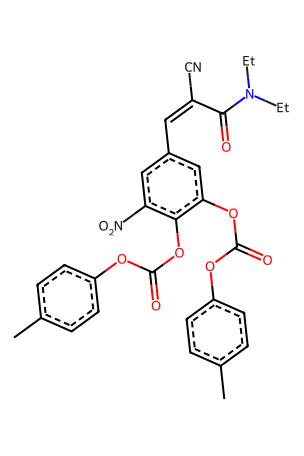 CCN(CC)C(=O)C(C#N)=Cc1cc(OC(=O)Oc2ccc(C)cc2)c(OC(=O)Oc2ccc(C)cc2)c([N+](=O)[O-])c1